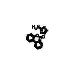 Nc1nccs1.O=[PH]1Oc2ccccc2-c2ccccc21